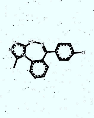 Cc1nnc2n1-c1ccccc1C(c1ccc(Cl)cc1)=NN2